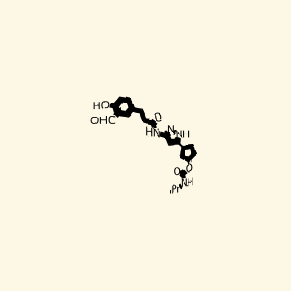 CC(C)NC(=O)O[C@@H]1CC[C@H](c2cc(NC(=O)CCc3ccc(O)c(C=O)c3)n[nH]2)C1